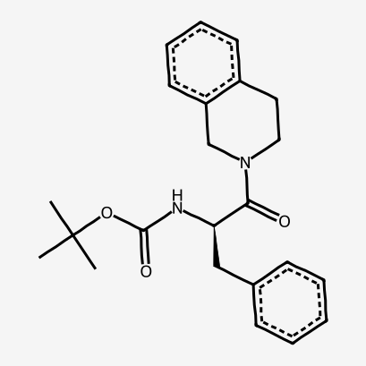 CC(C)(C)OC(=O)N[C@H](Cc1ccccc1)C(=O)N1CCc2ccccc2C1